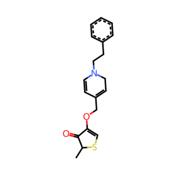 CC1SC=C(OCC2=CCN(CCc3ccccc3)C=C2)C1=O